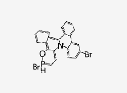 Brc1ccc2c(c1)-c1ccccc1C1=c3ccccc3=C3O[PH](Br)=CC=C3N12